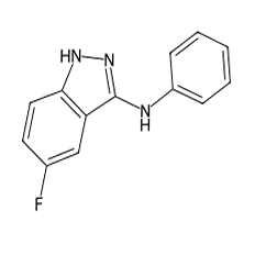 Fc1ccc2[nH]nc(Nc3ccccc3)c2c1